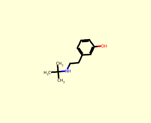 CC(C)(C)NCCc1cccc(O)c1